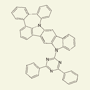 c1ccc(-c2nc(-c3ccccc3)nc(-n3c4ccccc4c4cc5c(cc43)c3cccc4c3n5-c3ccccc3-c3ccccc3-4)n2)cc1